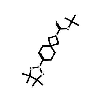 CC(C)(C)OC(=O)N1CC2(CC=C(B3OC(C)(C)C(C)(C)O3)CC2)C1